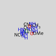 COC(=O)N[C@H]1CCN(c2cc(C#N)cc(Nc3nc(NC4CC4)c4ncc(C#N)n4n3)c2Cl)CC1N[C@@H](C)C(N)=O